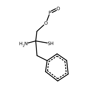 NC(S)(COP=O)Cc1ccccc1